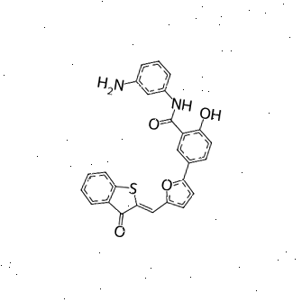 Nc1cccc(NC(=O)c2cc(-c3ccc(C=C4Sc5ccccc5C4=O)o3)ccc2O)c1